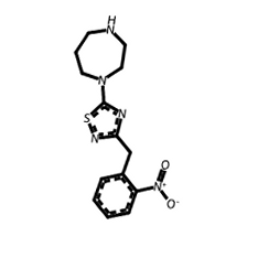 O=[N+]([O-])c1ccccc1Cc1nsc(N2CCCNCC2)n1